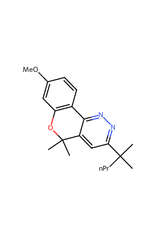 CCCC(C)(C)c1cc2c(nn1)-c1ccc(OC)cc1OC2(C)C